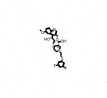 COc1ccc2ncc(F)c([C@@H](O)CC[C@H]3CCN(CCSc4cc(F)cc(F)c4)C[C@H]3C(=O)O)c2c1